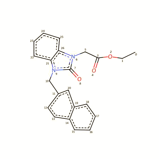 CCOC(=O)Cn1c(=O)n(Cc2ccc3ccccc3c2)c2ccccc21